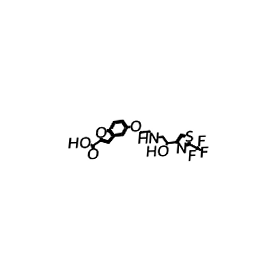 O=C(O)c1cc2cc(OCCNCC(O)c3csc(C(F)(F)F)n3)ccc2o1